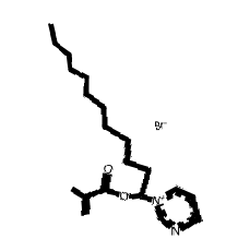 C=C(C)C(=O)OC(CCCCCCCCCCC)[n+]1cccnc1.[Br-]